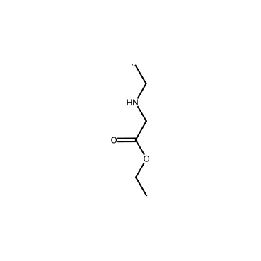 [CH2]CNCC(=O)OCC